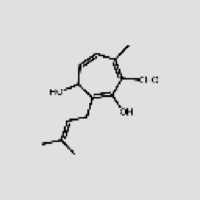 CC(C)=CCC1=C(O)C(C=O)=C(C)C=CC1O